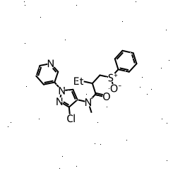 CCC(C[S+]([O-])c1ccccc1)C(=O)N(C)c1cn(-c2cccnc2)nc1Cl